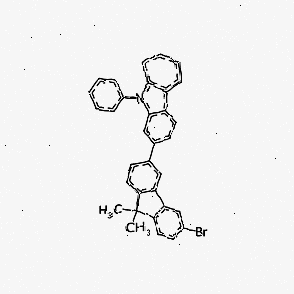 CC1(C)c2ccc(Br)cc2-c2cc(-c3ccc4c5ccccc5n(-c5ccccc5)c4c3)ccc21